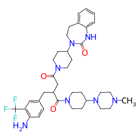 CN1CCN(C2CCN(C(=O)C(CC(=O)N3CCC(N4CCc5ccccc5NC4=O)CC3)Cc3ccc(N)c(C(F)(F)F)c3)CC2)CC1